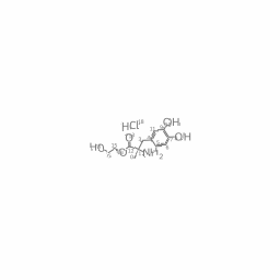 C[C@](N)(Cc1ccc(O)c(O)c1)C(=O)OCCO.Cl